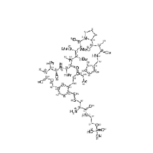 CCC(C)C(C(CC(=O)N1CCCC1C(OC)C(C)C(=O)NCc1nccs1)OC)N(C)C(=O)C(NC(=O)C(C(C)C)N(C)C(=O)OCc1ccc(SSCC(N)C(=O)NCCOP(=O)(O)O)c(CCOCC(C)=O)c1)C(C)C